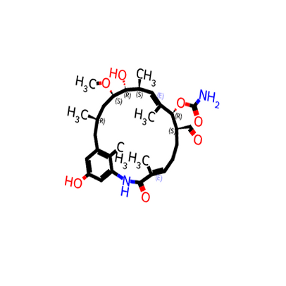 CO[C@H]1C[C@H](C)Cc2cc(O)cc(c2C)NC(=O)/C(C)=C/CC[C@H](C=O)[C@@H](OC(N)=O)/C(C)=C/[C@H](C)[C@H]1O